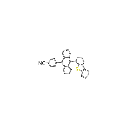 N#Cc1ccc(-c2c3ccccc3c(-c3cccc4c3sc3ccccc34)c3ccccc23)cc1